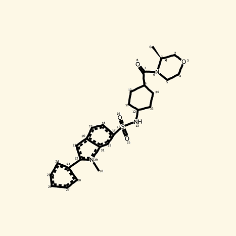 C[C@H]1COCCN1C(=O)C1CCC(NS(=O)(=O)c2ccc3cc(-c4ccccc4)n(C)c3c2)CC1